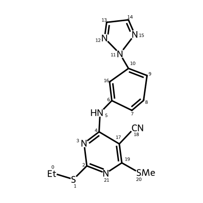 CCSc1nc(Nc2cccc(-n3nccn3)c2)c(C#N)c(SC)n1